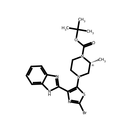 C[C@@H]1CN(c2sc(Br)nc2-c2nc3ccccc3[nH]2)CCN1C(=O)OC(C)(C)C